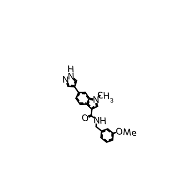 COc1cccc(CNC(=O)c2cn(C)c3cc(-c4cn[nH]c4)ccc23)c1